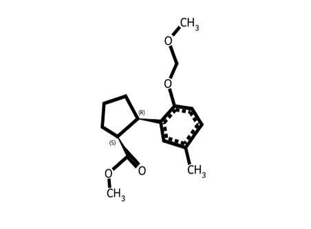 COCOc1ccc(C)cc1[C@@H]1CCC[C@@H]1C(=O)OC